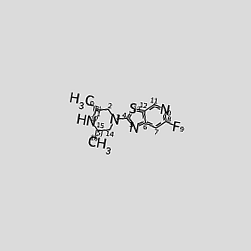 C[C@@H]1CN(c2nc3cc(F)ncc3s2)C[C@H](C)N1